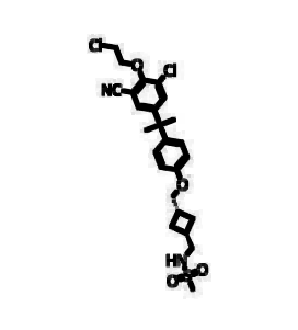 CC(C)(c1ccc(OC[C@H]2C[C@H](CNS(C)(=O)=O)C2)cc1)c1cc(Cl)c(OCCCl)c(C#N)c1